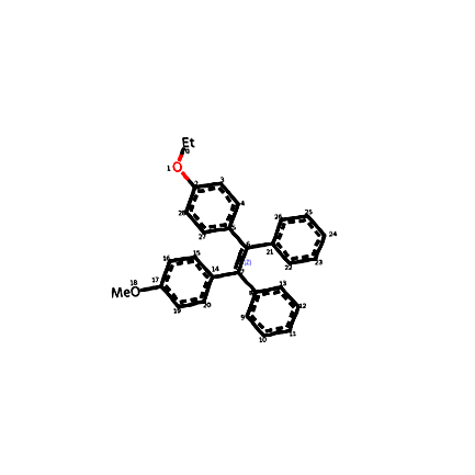 CCOc1ccc(/C(=C(/c2ccccc2)c2ccc(OC)cc2)c2ccccc2)cc1